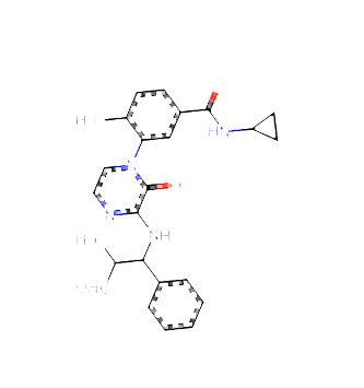 Cc1ccc(C(=O)NC2CC2)cc1-n1ccnc(NC(c2ccccc2)C(C)C=O)c1=O